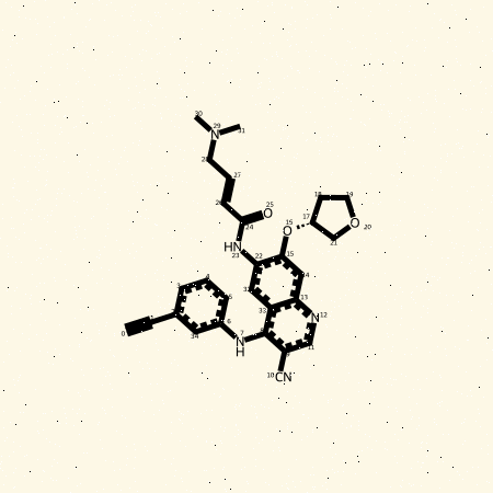 C#Cc1cccc(Nc2c(C#N)cnc3cc(O[C@@H]4CCOC4)c(NC(=O)/C=C/CN(C)C)cc23)c1